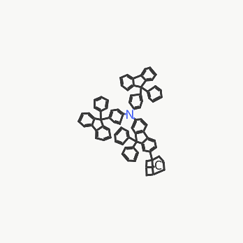 c1ccc(C2(c3ccc(N(c4ccc(C5(c6ccccc6)c6ccccc6-c6ccccc65)cc4)c4ccc5c(c4)C(c4ccccc4)(c4ccccc4)c4cc(C67CC8CC9CC(C6)C97C8)ccc4-5)cc3)c3ccccc3-c3ccccc32)cc1